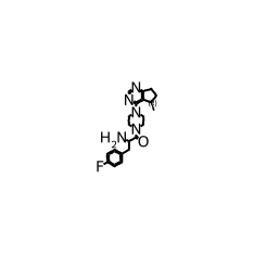 C[C@@H]1CCc2ncnc(N3CCN(C(=O)C(N)Cc4ccc(F)cc4)CC3)c21